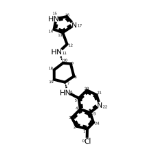 Clc1ccc2c(N[C@H]3CC[C@@H](NCc4c[nH]cn4)CC3)ccnc2c1